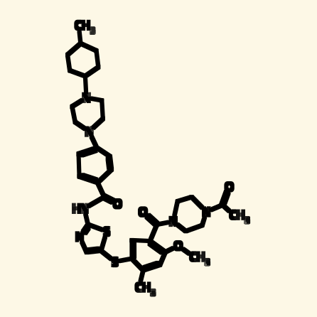 COc1cc(C)c(Sc2cnc(NC(=O)c3ccc(N4CCN(C5CCC(C)CC5)CC4)cc3)s2)cc1C(=O)N1CCN(C(C)=O)CC1